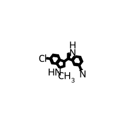 CNC1CC(c2c[nH]c3ccc(C#N)cc23)c2ccc(Cl)cc21